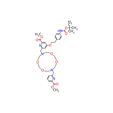 COC(=O)c1cccc(CN2CCOCCOCCN(Cc3cc(OCCc4ccc(NC(=O)OC(C)(C)C)cc4)cc(C(=O)OC)n3)CCOCCOCC2)n1